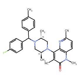 Cc1ccc(C(c2ccc(F)cc2)N2C[C@H](C)N(c3c(C#N)c(=O)n(C)c4ccc(C#N)nc34)C[C@H]2C)cc1